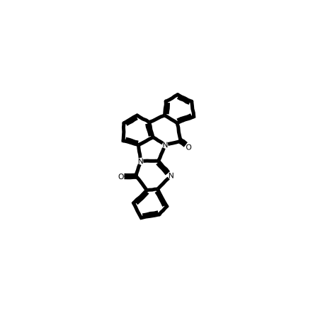 O=c1c2ccccc2nc2n1c1cccc3c4ccccc4c(=O)n2c31